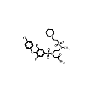 CN(CCN(CC(N)=O)S(=O)(=O)c1cc(F)c(Oc2ccc(Cl)cc2)c(F)c1)S(=O)(=O)CCN1CCCCC1